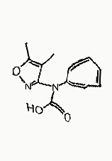 Cc1onc(N(C(=O)O)c2ccccc2)c1C